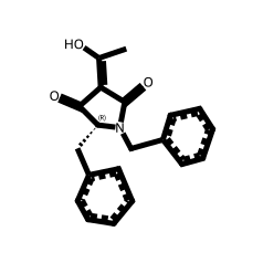 CC(O)=C1C(=O)[C@@H](Cc2ccccc2)N(Cc2ccccc2)C1=O